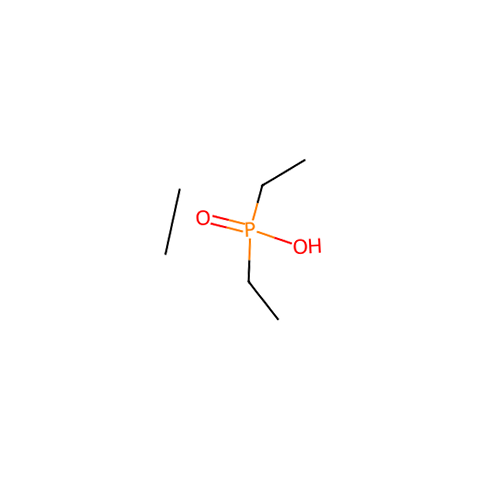 CC.CCP(=O)(O)CC